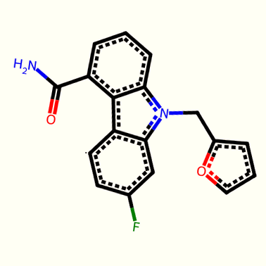 NC(=O)c1cccc2c1c1[c]cc(F)cc1n2Cc1ccco1